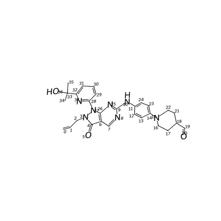 C=CCn1c(=O)c2cnc(Nc3ccc(N4CCC(C=O)CC4)cc3)nc2n1-c1cccc(C(C)(C)O)n1